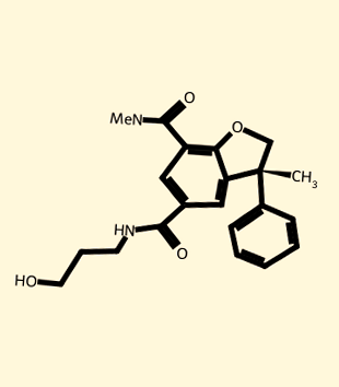 CNC(=O)c1cc(C(=O)NCCCO)cc2c1OC[C@]2(C)c1ccccc1